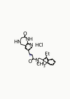 CCc1c(CN(C)C(=O)/C=C/c2cnc3c(c2)CNCC(=O)N3)oc2ccccc12.Cl